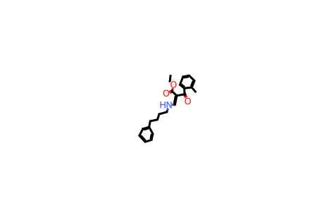 CCOC(=O)C(=CNCCCCc1ccccc1)C(=O)c1ccccc1C